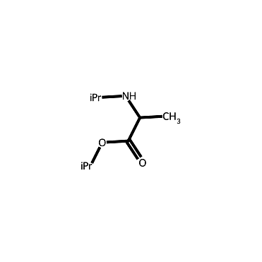 CC(C)NC(C)C(=O)OC(C)C